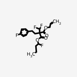 C=CCOC(=O)C(CCc1ccc(F)cc1)(C(=O)OC(F)CCC)C(F)F